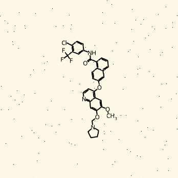 COc1cc2c(Oc3ccc4c(C(=O)Nc5ccc(Cl)c(C(F)(F)F)c5)cccc4c3)ccnc2cc1OCN1CCCC1